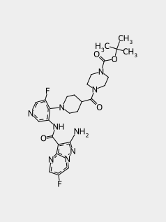 CC(C)(C)OC(=O)N1CCN(C(=O)C2CCN(c3c(F)cncc3NC(=O)c3c(N)nn4cc(F)cnc34)CC2)CC1